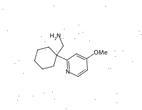 COc1ccnc(C2(CN)CCCCC2)c1